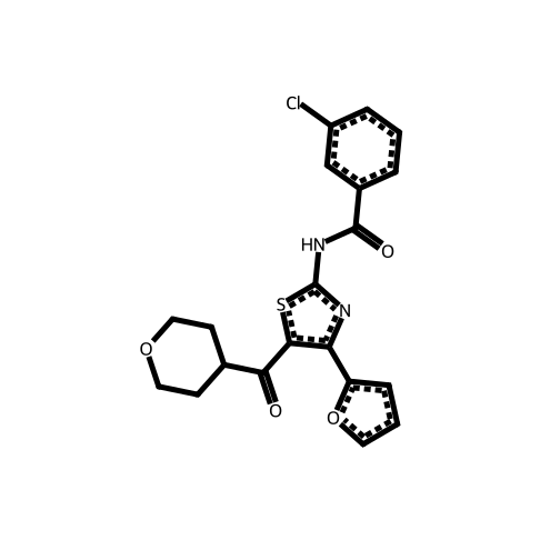 O=C(Nc1nc(-c2ccco2)c(C(=O)C2CCOCC2)s1)c1cccc(Cl)c1